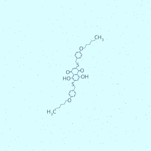 CCCCCCOc1ccc(CSC2=CC(=O)c3c(O)c(SCc4ccc(OCCCCCC)cc4)cc(O)c3C2=O)cc1